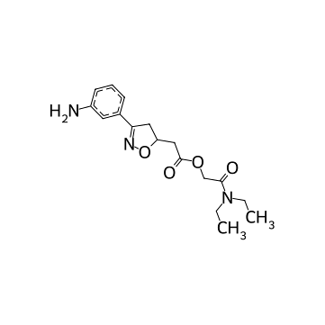 CCN(CC)C(=O)COC(=O)CC1CC(c2cccc(N)c2)=NO1